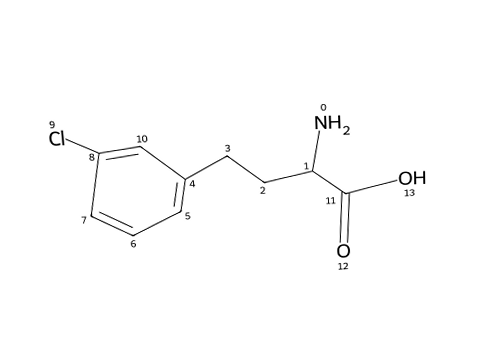 NC(CCc1cccc(Cl)c1)C(=O)O